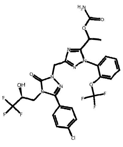 CC(OC(N)=O)c1nc(Cn2nc(-c3ccc(Cl)cc3)n(C[C@H](O)C(F)(F)F)c2=O)nn1-c1ccccc1OC(F)(F)F